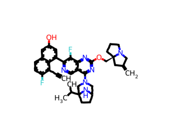 C#Cc1c(F)ccc2cc(O)cc(-c3ncc4c(N5CC6CCC(C(C)C)(C5)N6)nc(OC[C@@]56CCCN5CC(=C)C6)nc4c3F)c12